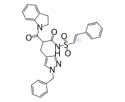 O=C(NS(=O)(=O)/C=C/c1ccccc1)C(Cc1cnn(Cc2ccccc2)c1)C(=O)N1CCc2ccccc21